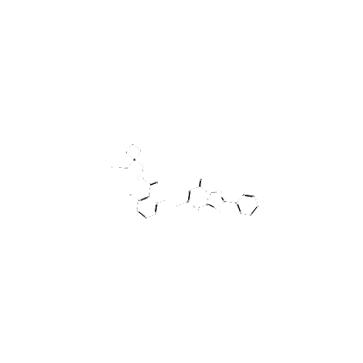 O=C(NCC1(CO)CCC1)c1c(Cl)cccc1OCc1cc(=O)n2nc(-c3ccccc3)nc2[nH]1